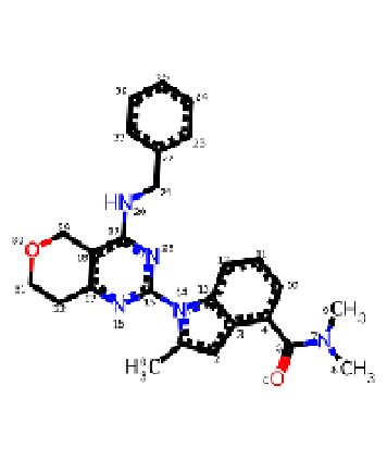 Cc1cc2c(C(=O)N(C)C)cccc2n1-c1nc2c(c(NCc3ccccc3)n1)COCC2